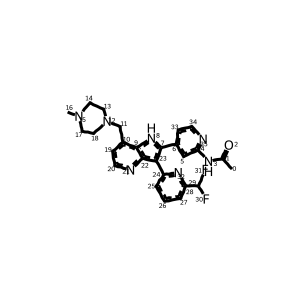 CC(=O)Nc1cc(-c2[nH]c3c(CN4CCN(C)CC4)ccnc3c2-c2cccc(C(F)F)n2)ccn1